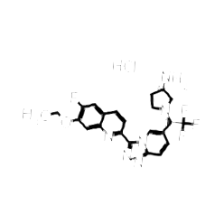 CCOc1cc2nc(-c3nnc4ccc([C@@H](N5CC[C@@H](N)C5)C(F)(F)F)cn34)ccc2cc1F.Cl